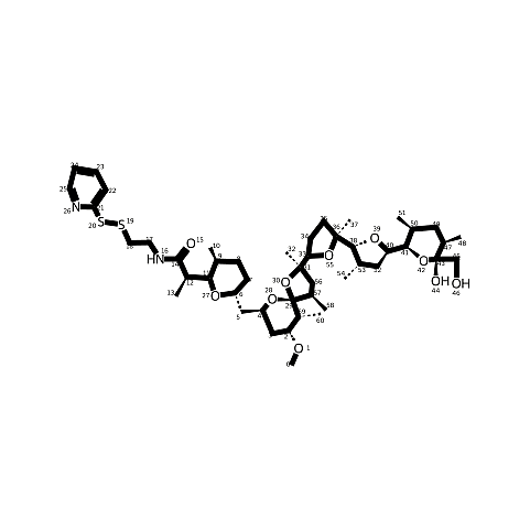 CO[C@@H]1C[C@@H](C[C@H]2CC[C@H](C)C([C@@H](C)C(=O)NCCSSc3ccccn3)O2)O[C@]2(O[C@@](C)(C3CC[C@@](C)([C@@H]4O[C@@H]([C@@H]5O[C@@](O)(CO)[C@H](C)C[C@@H]5C)C[C@@H]4C)O3)C[C@H]2C)[C@@H]1C